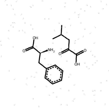 CC(C)CC(=O)C(=O)O.N[C@@H](Cc1ccccc1)C(=O)O